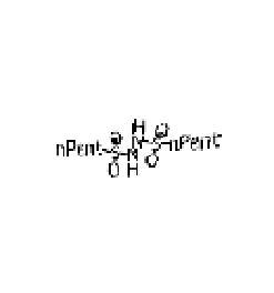 CCCCCS(=O)(=O)NNS(=O)(=O)CCCCC